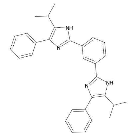 CC(C)c1[nH]c(-c2cccc(-c3nc(-c4ccccc4)c(C(C)C)[nH]3)c2)nc1-c1ccccc1